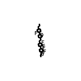 CCCc1ccc(C2CCC(CCc3ccc(-c4ccc(OCC)c(F)c4F)c(F)c3F)CO2)c(F)c1